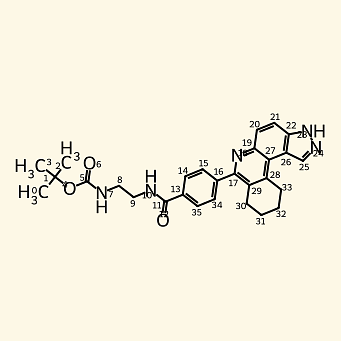 CC(C)(C)OC(=O)NCCNC(=O)c1ccc(-c2nc3ccc4[nH]ncc4c3c3c2CCCC3)cc1